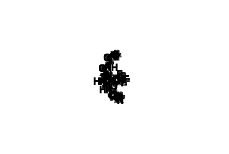 CC1=C(C(=O)Nc2ccc3cnccc3c2)C(c2ccc(C(F)(F)F)c(F)c2)n2nc(C(=O)NCCC(=O)N3CCCC3)cc2N1